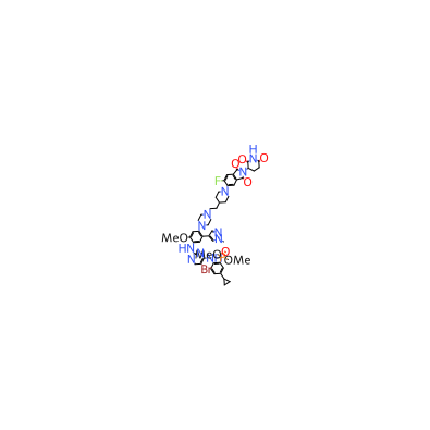 COc1cc(N2CCN(CCC3CCN(c4cc5c(cc4F)C(=O)N(C4CCC(=O)NC4=O)C5=O)CC3)CC2)c(-c2cnn(C)c2)cc1Nc1ncc(Br)c(Nc2ccc(C3CC3)cc2P(=O)(OC)OC)n1